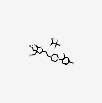 CCC1(CC)CC(CCN2CCN(c3ccc(Cl)cc3Cl)CC2)OC1=O.O=C(O)C(F)(F)F